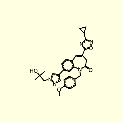 COc1ccc(CN2C(=O)CC(c3nc(C4CC4)no3)=Cc3ccc(-c4cnn(CC(C)(C)O)c4)cc32)cc1